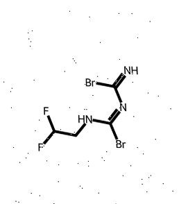 N=C(Br)/N=C(/Br)NCC(F)F